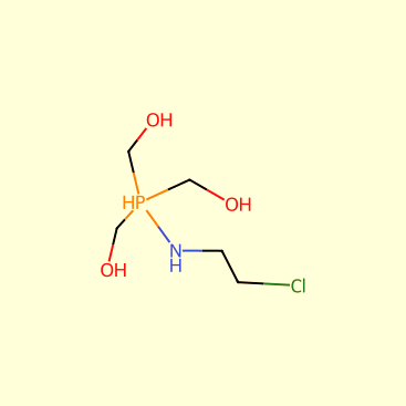 OC[PH](CO)(CO)NCCCl